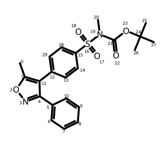 Cc1onc(-c2ccccc2)c1-c1ccc(S(=O)(=O)N(C)C(=O)OC(C)(C)C)cc1